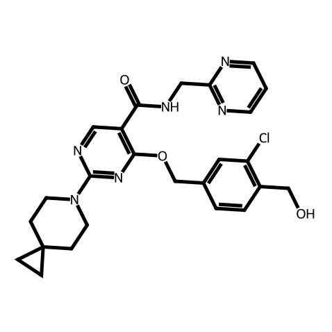 O=C(NCc1ncccn1)c1cnc(N2CCC3(CC2)CC3)nc1OCc1ccc(CO)c(Cl)c1